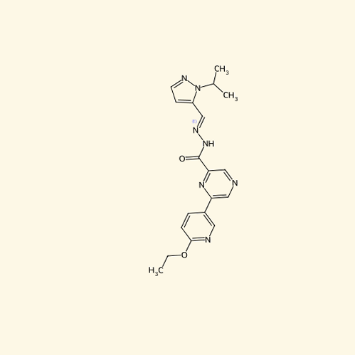 CCOc1ccc(-c2cncc(C(=O)N/N=C/c3ccnn3C(C)C)n2)cn1